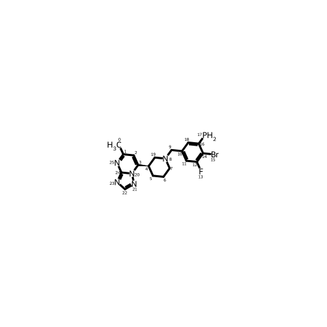 Cc1cc([C@@H]2CCCN(Cc3cc(F)c(Br)c(P)c3)C2)n2ncnc2n1